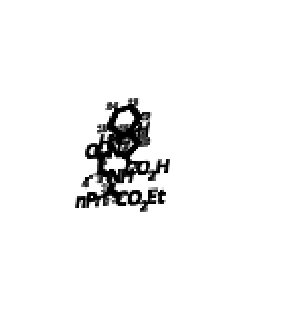 CCC[C@@H](N[C@H](C)C(=O)N1[C@H](C(=O)O)C[C@@H]2CCCC[C@@H]21)C(=O)OCC